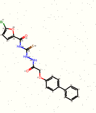 O=C(COc1ccc(-c2ccccc2)cc1)NNC(=S)NC(=O)c1ccc(Br)o1